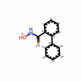 ONC(=S)c1ccccc1-c1ccccc1